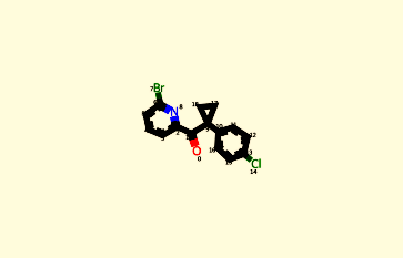 O=C(c1cccc(Br)n1)C1(c2ccc(Cl)cc2)CC1